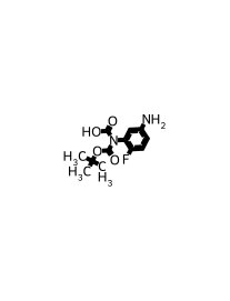 CC(C)(C)OC(=O)N(C(=O)O)c1cc(N)ccc1F